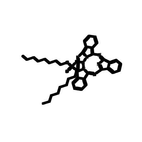 CCCCCCCCOP(=O)(OCCCCCCCC)OB1n2c3c4ccccc4c2/N=C2N=C(/N=c4/c5ccccc5c(n41)=N3)c1ccccc1\2